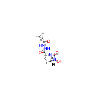 O=C(NNC(=O)[C@@H]1CC[C@H]2CN1C(=O)N2O)C1CC1